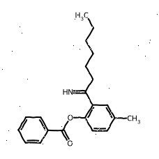 CCCCCCC(=N)c1cc(C)ccc1OC(=O)c1ccccc1